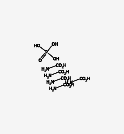 NC(=O)O.NC(=O)O.NC(=O)O.NC(=O)O.NC(=O)O.O=P(O)(O)O